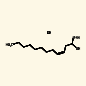 CCCCCC[C@@H](O)C/C=C\CCCCCCCC(=O)O.[KH]